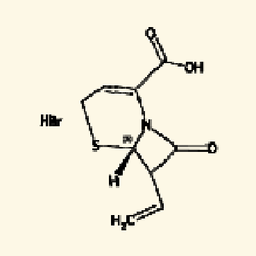 Br.C=CC1C(=O)N2C(C(=O)O)=CCS[C@@H]12